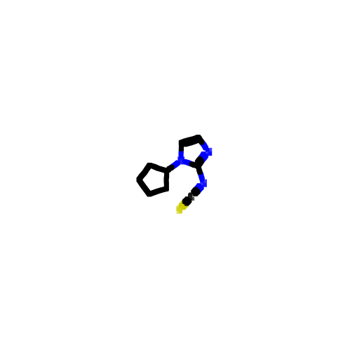 S=C=Nc1nccn1C1CCCC1